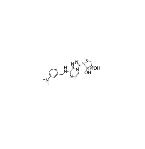 CN(C)c1cccc(CNc2nccn3c([C@@H]4SC[C@@H](O)[C@H]4O)nnc23)c1